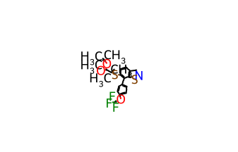 CC(C)(C)OC(=O)C(C)(C)Sc1ccc2cnsc2c1-c1ccc(OC(F)(F)F)cc1